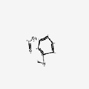 O=PO.[CH3][Al][c]1ccccc1